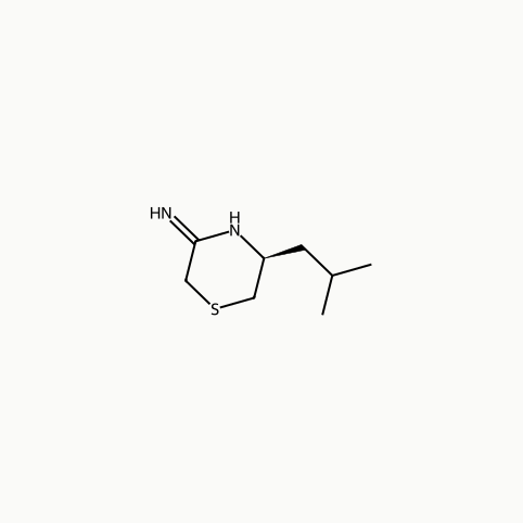 CC(C)C[C@H]1CSCC(=N)N1